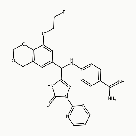 N=C(N)c1ccc(NC(c2cc3c(c(OCCF)c2)OCOC3)c2nn(-c3ncccn3)c(=O)[nH]2)cc1